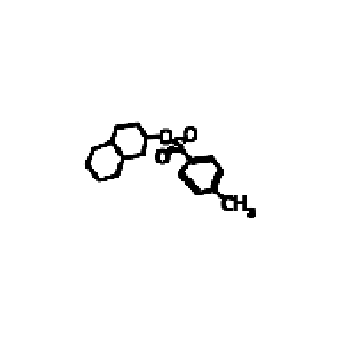 Cc1ccc(S(=O)(=O)OC2CCC3CCCCC3C2)cc1